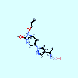 C=CCON1C(=O)N2CC(n3cc(/C(C)=N/O)cn3)=CC1C2